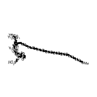 COCCOCCOCCOCCOCCOCCOCCOCCOCCOCCOCCOCCOCCOCCOCCOCCOCC#Cc1cc(NC(=O)[C@H](C)NC(=O)[C@@H](NC(=O)CN2C(=O)[C@@H](N3C(=O)C=CC3=O)C[C@H]2COCCS(=O)(=O)O)C(C)C)ccc1COC(=O)C(C)(C)S